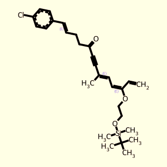 C=C/C(=C\C=C(/C)C#CC(=O)CC/C=C/c1ccc(Cl)cc1)OCCO[Si](C)(C)C(C)(C)C